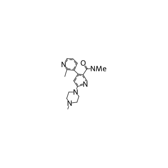 CNC(=O)c1cnc(N2CCN(C)CC2)cc1-c1cccnc1C